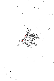 C[CH2][Zr](=[SiH2])([CH2]C)([C]1=C(C)C=C(C)C1C)[C]1=C(C)C=C(C)C1C